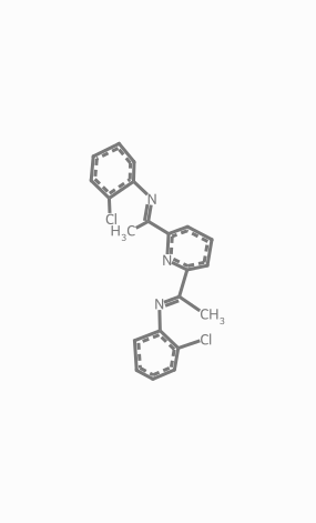 C/C(=N\c1ccccc1Cl)c1cccc(/C(C)=N/c2ccccc2Cl)n1